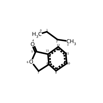 CCCC.O=C1OCc2ccccc21